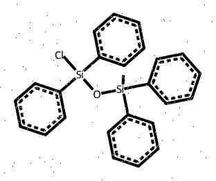 C[Si](O[Si](Cl)(c1ccccc1)c1ccccc1)(c1ccccc1)c1ccccc1